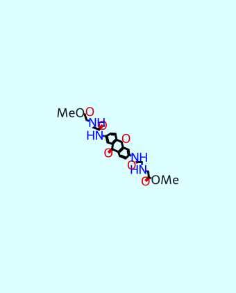 COC(=O)CNCC(=O)Nc1ccc2c(c1)C(=O)c1ccc(NC(=O)CNCC(=O)OC)cc1C2=O